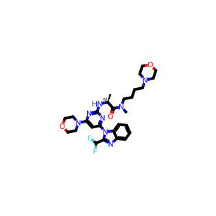 C[C@H](Nc1nc(N2CCOCC2)cc(-n2c(C(F)F)nc3ccccc32)n1)C(=O)N(C)CCCCN1CCOCC1